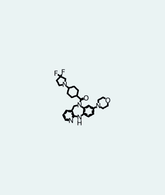 O=C(C1CCC(N2CCC(F)(F)C2)CC1)N1Cc2cccnc2Nc2ccc(N3CCOCC3)cc21